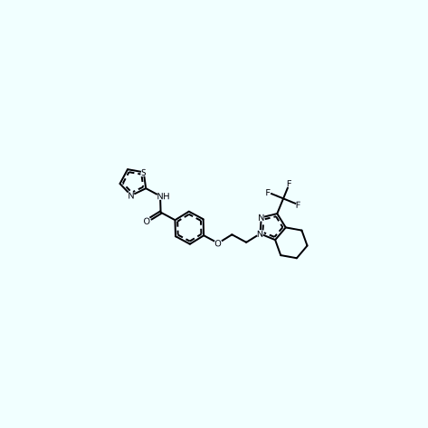 O=C(Nc1nccs1)c1ccc(OCCn2nc(C(F)(F)F)c3c2CCCC3)cc1